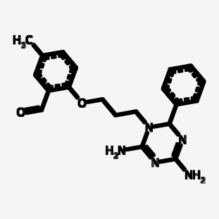 Cc1ccc(OCCCN2C(N)=NC(N)=NC2c2ccccc2)c(C=O)c1